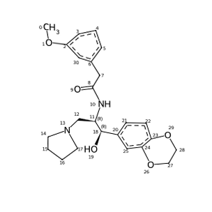 COc1cccc(CC(=O)N[C@H](CN2CCCC2)[C@H](O)c2ccc3c(c2)OCCO3)c1